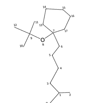 CC(C)CCCCC1(OC(C)(C)C)CCCCC1